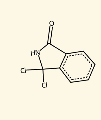 O=C1NC(Cl)(Cl)c2ccccc21